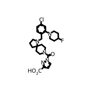 O=C(O)c1ccn(C(=O)N2CCC3(CCCN3Cc3ccc(Cl)cc3N3CCC(F)CC3)CC2)n1